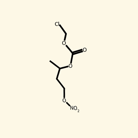 CC(CCO[N+](=O)[O-])OC(=O)OCCl